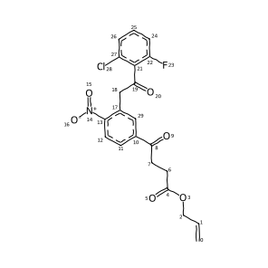 C=CCOC(=O)CCC(=O)c1ccc([N+](=O)[O-])c(CC(=O)c2c(F)cccc2Cl)c1